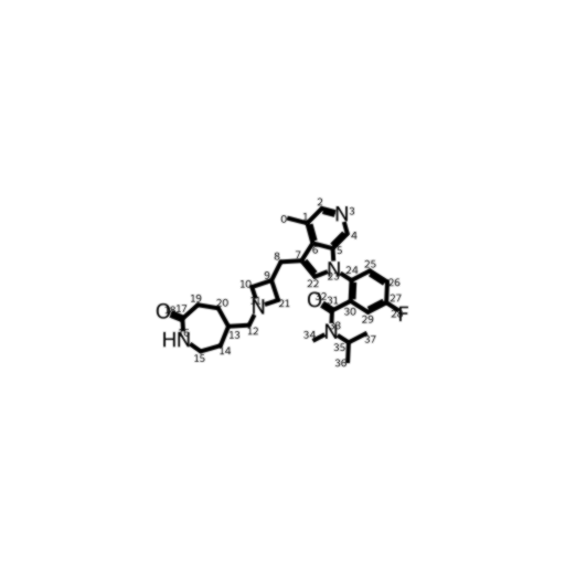 Cc1cncc2c1c(CC1CN(CC3CCNC(=O)CC3)C1)cn2-c1ccc(F)cc1C(=O)N(C)C(C)C